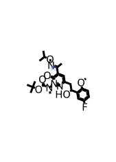 COc1ccc(F)cc1C(O)Cc1cc(/C(C)=N/OC(C)C)c(=O)n(N(C)C(=O)OC(C)(C)C)n1